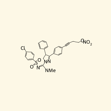 CNC(=NS(=O)(=O)c1ccc(Cl)cc1)N1CC(c2ccccc2)C(c2ccc(C#CCCO[N+](=O)[O-])cc2)=N1